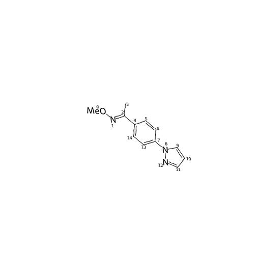 CON=C(C)c1ccc(-n2cccn2)cc1